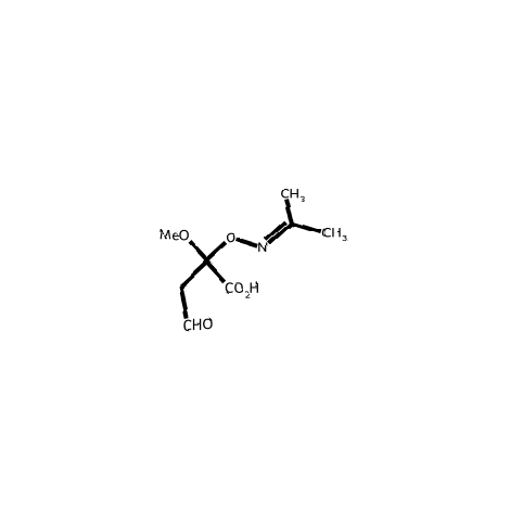 COC(CC=O)(ON=C(C)C)C(=O)O